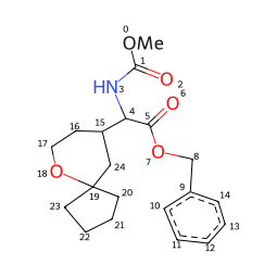 COC(=O)NC(C(=O)OCc1ccccc1)C1CCOC2(CCCC2)C1